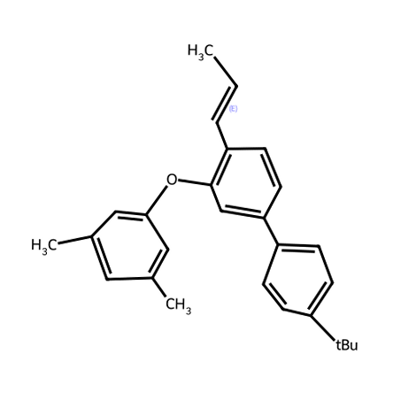 C/C=C/c1ccc(-c2ccc(C(C)(C)C)cc2)cc1Oc1cc(C)cc(C)c1